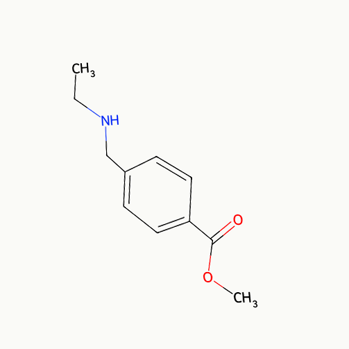 CCNCc1ccc(C(=O)OC)cc1